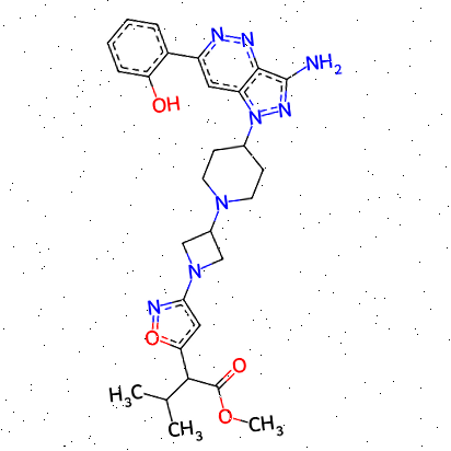 COC(=O)C(c1cc(N2CC(N3CCC(n4nc(N)c5nnc(-c6ccccc6O)cc54)CC3)C2)no1)C(C)C